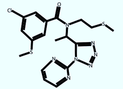 CSCCN(C(=O)c1cc(Cl)cc(SC)c1)C(C)c1nnnn1-c1ncccn1